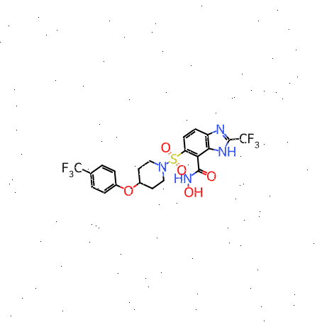 O=C(NO)c1c(S(=O)(=O)N2CCC(Oc3ccc(C(F)(F)F)cc3)CC2)ccc2nc(C(F)(F)F)[nH]c12